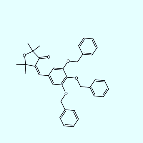 CC1(C)OC(C)(C)C(=Cc2cc(OCc3ccccc3)c(OCc3ccccc3)c(OCc3ccccc3)c2)C1=O